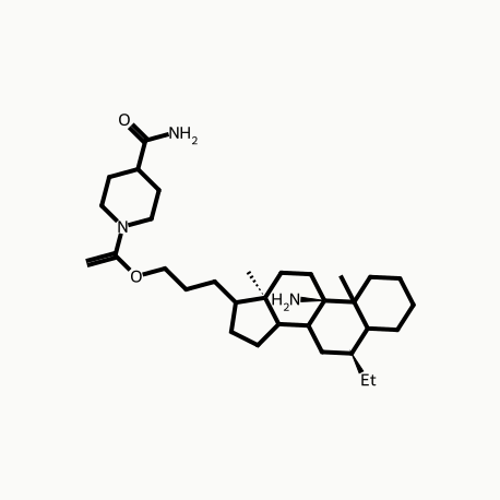 C=C(OCCCC1CCC2C3C[C@H](CC)C4CCCCC4(C)[C@@]3(N)CC[C@]12C)N1CCC(C(N)=O)CC1